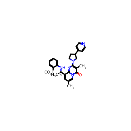 Cc1cc([C@@H](C)Nc2ccccc2C(=O)O)c2nc(N3CCC(c4ccncc4)C3)c(C)c(=O)n2c1